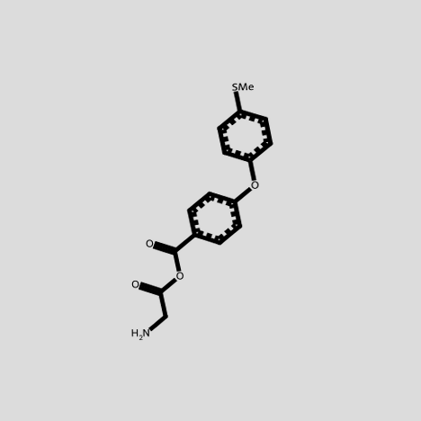 CSc1ccc(Oc2ccc(C(=O)OC(=O)CN)cc2)cc1